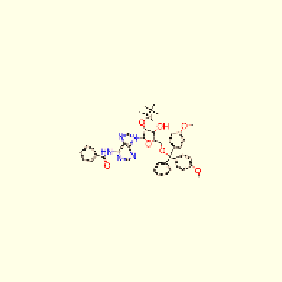 COc1ccc(C(OCC2OC(n3cnc4c(NC(=O)c5ccccc5)ncnc43)C(O[Si](C)(C)C(C)(C)C)C2O)(c2ccccc2)c2ccc(OC)cc2)cc1